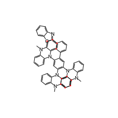 CN1c2ccccc2N(c2cc(N3c4ccccc4N(C)c4ccccc43)c(N3c4ccccc4N(C)c4ccccc43)cc2-c2cccc(-c3nc4ccccc4o3)c2)c2ccccc21